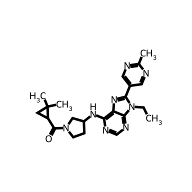 CCn1c(-c2cnc(C)nc2)nc2c(NC3CCN(C(=O)C4CC4(C)C)C3)ncnc21